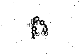 O=C1c2ccc(Nc3nc4c(-c5ccc(CN6CCS(=O)(=O)CC6)cc5)cccn4n3)cc2CN1C1CC1